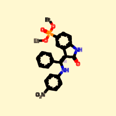 CCOP(=O)(OCC)c1ccc2c(c1)/C(=C(/Nc1ccc([N+](=O)[O-])cc1)c1ccccc1)C(=O)N2